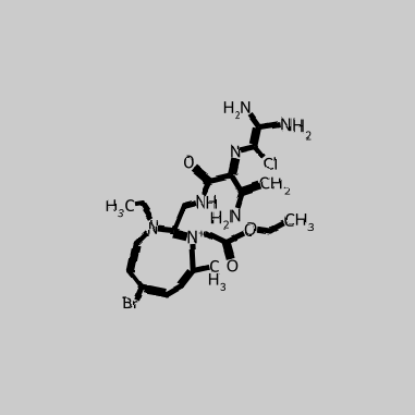 C=C(N)/C(=N\C(Cl)=C(N)N)C(=O)NCc1n(CC)ccc(Br)ccc(C)[n+]1CC(=O)OCC